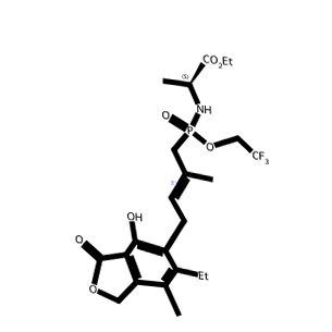 CCOC(=O)[C@H](C)NP(=O)(C/C(C)=C/Cc1c(O)c2c(c(C)c1CC)COC2=O)OCC(F)(F)F